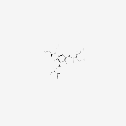 CN(C(=O)CN)c1c(I)c(C(=O)NC(CO)C(O)CO)c(I)c(C(=O)NC(CO)C(O)CO)c1I